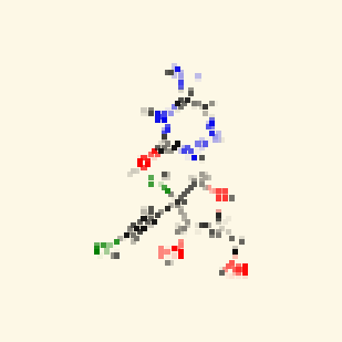 Nc1cnn([C@@H]2O[C@H](CO)[C@H](O)C2(Cl)C#CCl)c(=O)n1